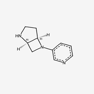 c1cncc(N2C[C@H]3NCC[C@H]32)c1